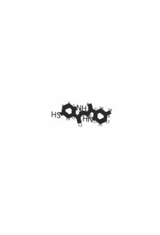 C=c1/c(=c2\[nH]c3ccc(S)cc3c2=C)[nH]c2ccc(C)cc12